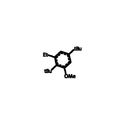 CCc1cc(C(C)(C)C)cc(OC)c1C(C)(C)C